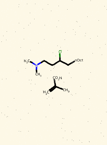 C=C(C)C(=O)O.CCCCCCCCCC(Cl)CCN(C)C